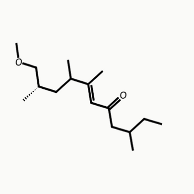 CCC(C)CC(=O)/C=C(\C)C(C)C[C@H](C)COC